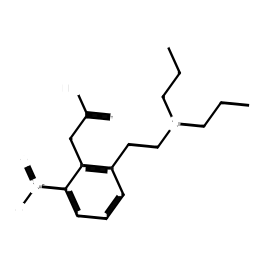 CCCN(CCC)CCc1cccc([N+](=O)[O-])c1CC(=O)O.Cl